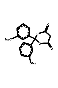 COc1cccc(C2(c3cccc(OC)c3)OC(=O)CC(=O)O2)c1